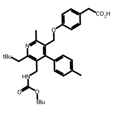 Cc1ccc(-c2c(COc3ccc(CC(=O)O)cc3)c(C)nc(CC(C)(C)C)c2CNC(=O)OC(C)(C)C)cc1